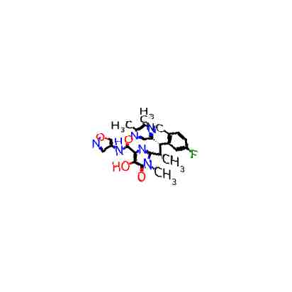 Cc1ncc([C@H](c2cc(F)ccc2C#N)[C@@H](C)c2nc(C(=O)Nc3cnoc3)c(O)c(=O)n2C)nc1C